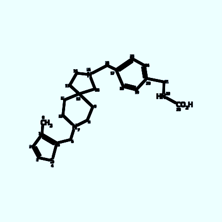 Cc1ccsc1CN1CCC2(CC1)CCN(Cc1ccc(CNC(=O)O)cc1)C2